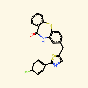 O=C1Nc2cc(Cc3cnc(C4=CCC(F)C=C4)s3)ccc2Sc2ccccc21